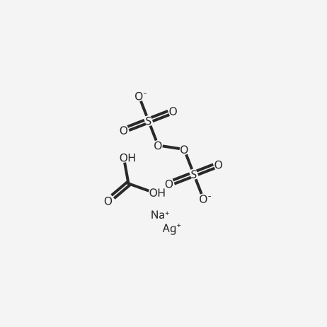 O=C(O)O.O=S(=O)([O-])OOS(=O)(=O)[O-].[Ag+].[Na+]